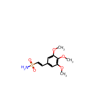 COc1cc(C=CS(N)(=O)=O)cc(OC)c1OC